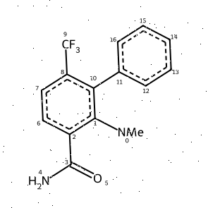 CNc1c(C(N)=O)ccc(C(F)(F)F)c1-c1ccccc1